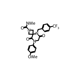 CNC(=O)N1CC2(C1)C(=O)N(c1ccc(OC)cc1)CC(=O)N2Cc1ccc(C(F)(F)F)cc1